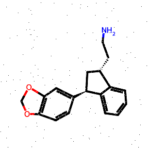 NCC[C@H]1C[C@H](c2ccc3c(c2)OCO3)c2ccccc21